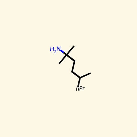 CCCC(C)CCC(C)(C)N